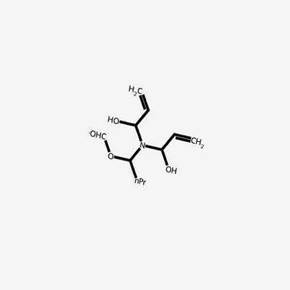 C=CC(O)N(C(O)C=C)C(CCC)O[C]=O